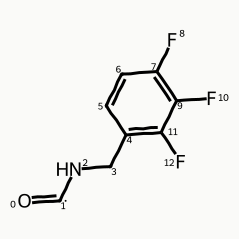 O=[C]NCc1ccc(F)c(F)c1F